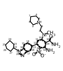 CN(CCN1CCCCC1)c1cc(-c2ccc3c(c2)ncn3C2CCCCC2)c([N+](=O)[O-])c(N)c1C(N)=O